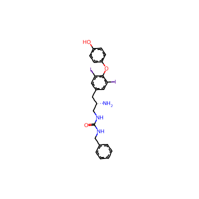 N[C@H](CNC(=O)NCc1ccccc1)Cc1cc(I)c(Oc2ccc(O)cc2)c(I)c1